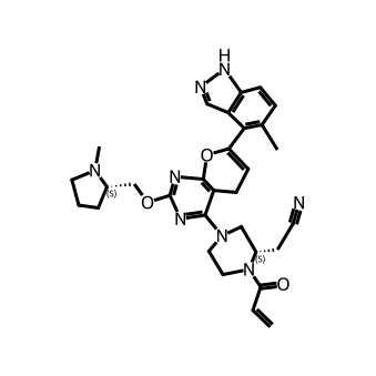 C=CC(=O)N1CCN(c2nc(OC[C@@H]3CCCN3C)nc3c2CC=C(c2c(C)ccc4[nH]ncc24)O3)C[C@@H]1CC#N